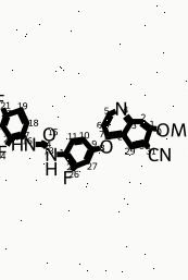 COc1cc2nccc(Oc3ccc(NC(=O)Nc4ccc(F)cc4F)c(F)c3)c2cc1C#N